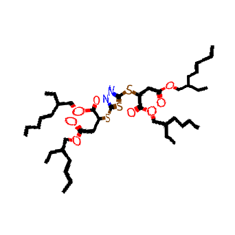 CCCCCC(CC)COC(=O)CC(Sc1nnc(SC(CC(=O)OCC(CC)CCCC)C(=O)OCC(CC)CCCCC)s1)C(=O)OCC(CC)CCCC